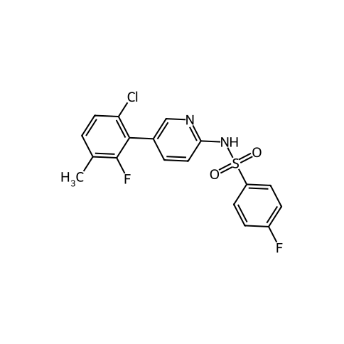 Cc1ccc(Cl)c(-c2ccc(NS(=O)(=O)c3ccc(F)cc3)nc2)c1F